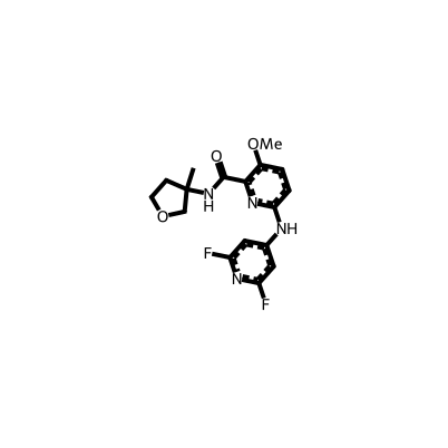 COc1ccc(Nc2cc(F)nc(F)c2)nc1C(=O)NC1(C)CCOC1